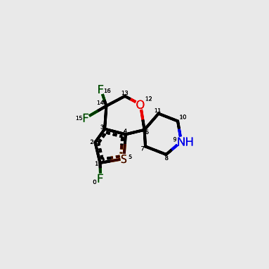 Fc1cc2c(s1)C1(CCNCC1)OCC2(F)F